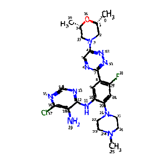 C[C@@H]1CN(c2cnc(-c3cc(Nc4ncnc(Cl)c4N)c(N4CCN(C)CC4)cc3F)nn2)C[C@H](C)O1